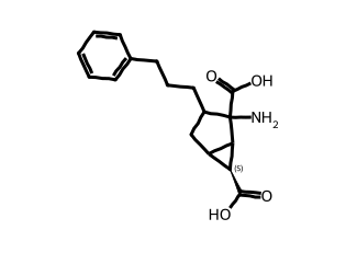 NC1(C(=O)O)C(CCCc2ccccc2)CC2C1[C@H]2C(=O)O